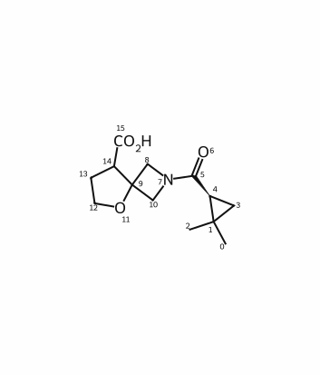 CC1(C)C[C@@H]1C(=O)N1CC2(C1)OCCC2C(=O)O